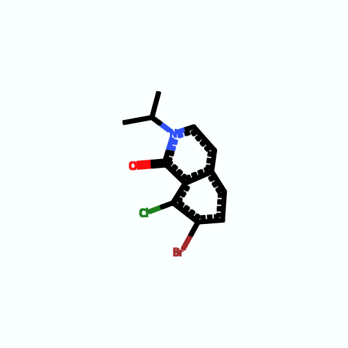 CC(C)n1ccc2ccc(Br)c(Cl)c2c1=O